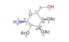 CC(=O)OC1[C@@H](N)OC(CO)[C@@H](OC(C)=O)[C@H]1OC(C)=O